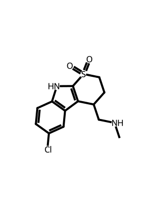 CNCC1CCS(=O)(=O)c2[nH]c3ccc(Cl)cc3c21